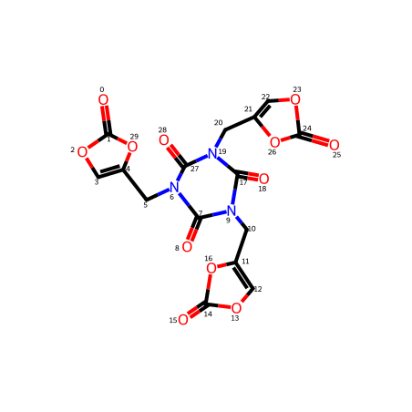 O=c1occ(Cn2c(=O)n(Cc3coc(=O)o3)c(=O)n(Cc3coc(=O)o3)c2=O)o1